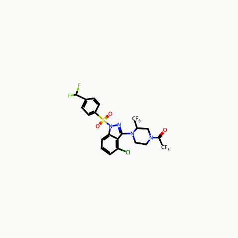 O=C(N1CCN(c2nn(S(=O)(=O)c3ccc(C(F)F)cc3)c3cccc(Cl)c23)C(C(F)(F)F)C1)C(F)(F)F